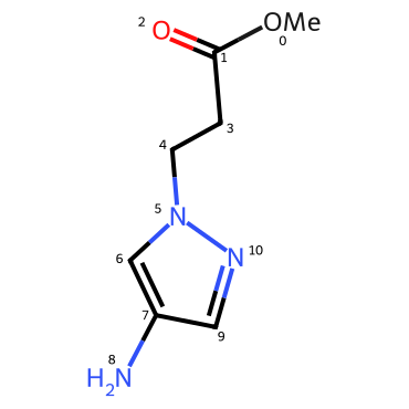 COC(=O)CCn1cc(N)cn1